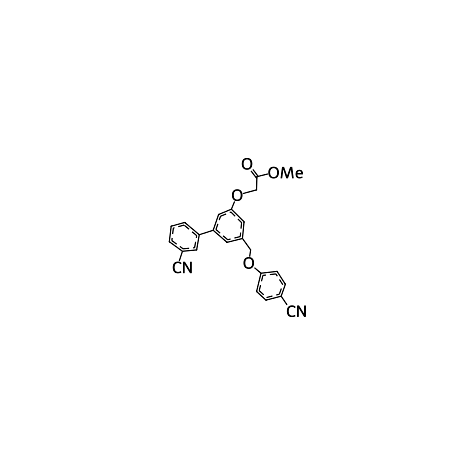 COC(=O)COc1cc(COc2ccc(C#N)cc2)cc(-c2cccc(C#N)c2)c1